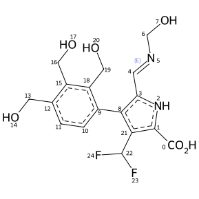 O=C(O)c1[nH]c(/C=N/CO)c(-c2ccc(CO)c(CO)c2CO)c1C(F)F